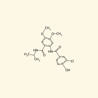 COc1cc(NC(=O)c2ccc(O)c(Cl)c2)c(C(=O)NC(C)C)cc1OC